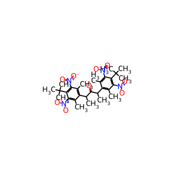 Cc1c(C(C)C(=O)C(C)c2c(C)c([N+](=O)[O-])c(C(C)(C)C)c([N+](=O)[O-])c2C)c(C)c([N+](=O)[O-])c(C(C)(C)C)c1[N+](=O)[O-]